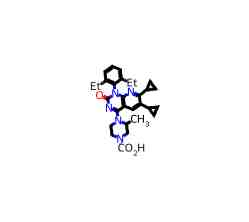 CCc1cccc(CC)c1-n1c(=O)nc(N2CCN(C(=O)O)CC2C)c2cc(C3CC3)c(C3CC3)nc21